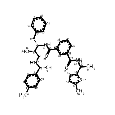 Cc1ccc([C@@H](C)NC[C@@H](O)[C@H](Cc2ccccc2)NC(=O)c2cccc(C(=O)NC(C)c3ccc(C)s3)c2)cc1